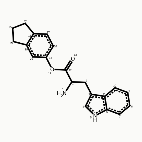 NC(Cc1c[nH]c2ccccc12)C(=O)Oc1ccc2c(c1)CCC2